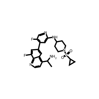 CC(N)c1ccnc2c(F)cc(-c3cc(NC4CCN(S(=O)(=O)C5CC5)CC4)ncc3F)cc12